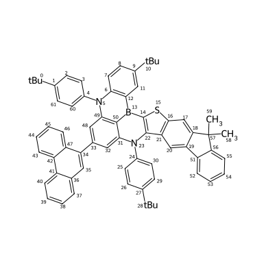 CC(C)(C)c1ccc(N2c3ccc(C(C)(C)C)cc3B3c4sc5cc6c(cc5c4N(c4ccc(C(C)(C)C)cc4)c4cc(-c5cc7ccccc7c7ccccc57)cc2c43)-c2ccccc2C6(C)C)cc1